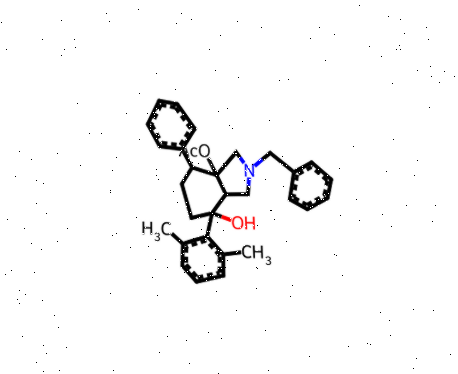 CC(=O)OC12CN(Cc3ccccc3)CC1C(O)(c1c(C)cccc1C)CCC2c1ccccc1